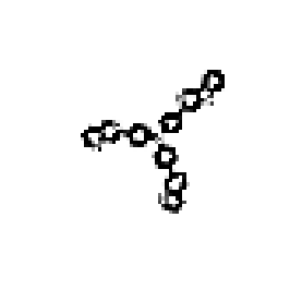 c1cnc2cc(-c3ccc(N(c4ccc(-c5cc6ncccc6cn5)cc4)c4ccc(-c5cc6oc7ccccc7c6cn5)cc4)cc3)ncc2c1